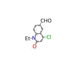 CCn1c(=O)cc(Cl)c2cc(C=O)ccc21